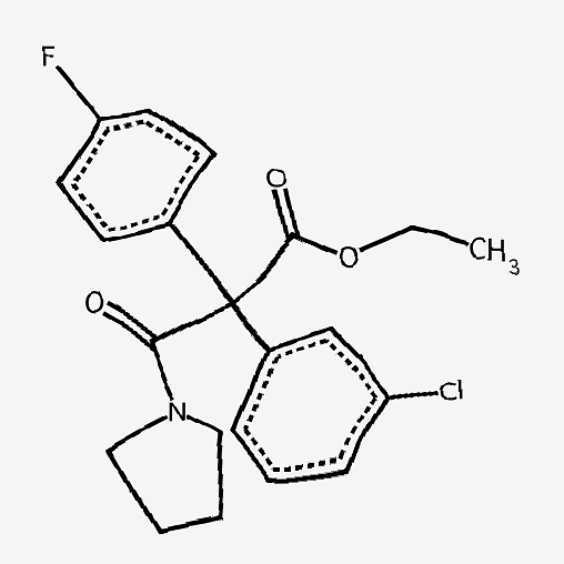 CCOC(=O)C(C(=O)N1CCCC1)(c1ccc(F)cc1)c1cccc(Cl)c1